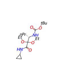 CCC[C@H](NC(=O)OC(C)(C)C)C(OCC)(OCC)C(=O)NC1CC1